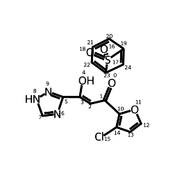 O=C(C=C(O)c1nc[nH]n1)c1occc1Cl.O=S1(=O)c2cccc1c2